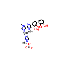 CCCCn1cc[n+](C)c1.CCCCn1cc[n+](C)c1.CCCCn1cc[n+](C)c1.Oc1ccccc1O.Oc1ccccc1O.[O-]B([O-])[O-]